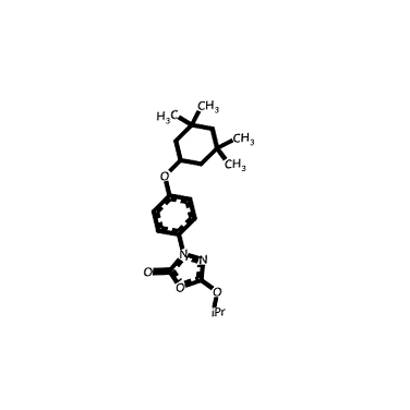 CC(C)Oc1nn(-c2ccc(OC3CC(C)(C)CC(C)(C)C3)cc2)c(=O)o1